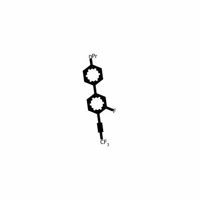 CCCc1ccc(-c2ccc(C#CC(F)(F)F)c(F)c2)cc1